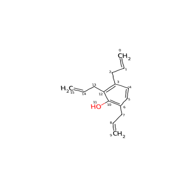 C=CCc1[c]cc(CC=C)c(O)c1CC=C